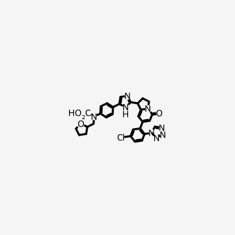 O=C(O)N(CC1CCCO1)c1ccc(-c2cnc(C3CCn4c3cc(-c3cc(Cl)ccc3-n3cnnn3)cc4=O)[nH]2)cc1